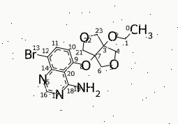 CCOC12COCC1(Oc1ccc(Br)c3ncnc(N)c13)COC2